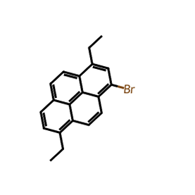 CCc1ccc2ccc3c(CC)cc(Br)c4ccc1c2c43